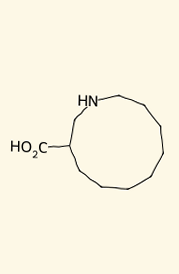 O=C(O)C1CCCCCCCCNC1